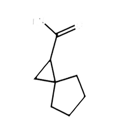 NC(=O)C1CC12CCCC2